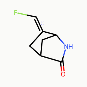 O=C1NC2CC1C/C2=C\F